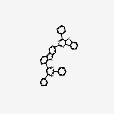 c1ccc(C2=NC(c3ccc4c(c3)sc3c(-c5cc(-c6ccccc6)nc(-c6ccccc6)n5)cccc34)=NC3c4ccccc4SC23)cc1